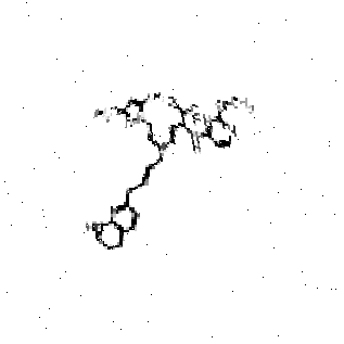 COc1nccc(NC(CCN(CCCCc2ccc3c(n2)NCCC3)CCn2nc(C)cc2C)C(=O)O)n1